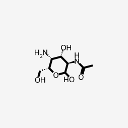 CC(=O)N[C@H]1C(O)O[C@H](CO)[C@H](N)[C@@H]1O